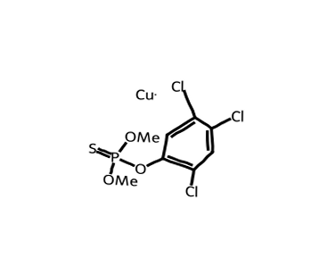 COP(=S)(OC)Oc1cc(Cl)c(Cl)cc1Cl.[Cu]